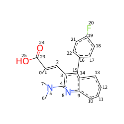 CC(=Cc1c(N(C)C)nc2ccccc2c1-c1ccc(F)cc1)C(=O)O